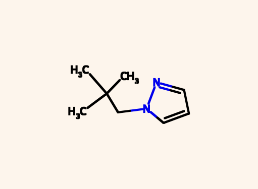 CC(C)(C)Cn1cccn1